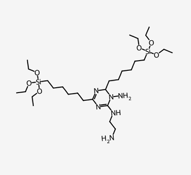 CCO[Si](CCCCCCC1=NC(CCCCCC[Si](OCC)(OCC)OCC)N(N)C(NCCN)=N1)(OCC)OCC